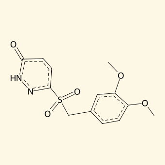 COc1ccc(CS(=O)(=O)c2ccc(=O)[nH]n2)cc1OC